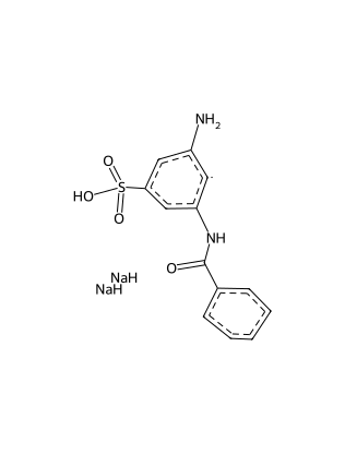 Nc1[c]c(NC(=O)c2ccccc2)cc(S(=O)(=O)O)c1.[NaH].[NaH]